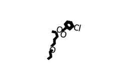 CCCOCCCCC(C)OC(=O)c1cccc(Cl)c1